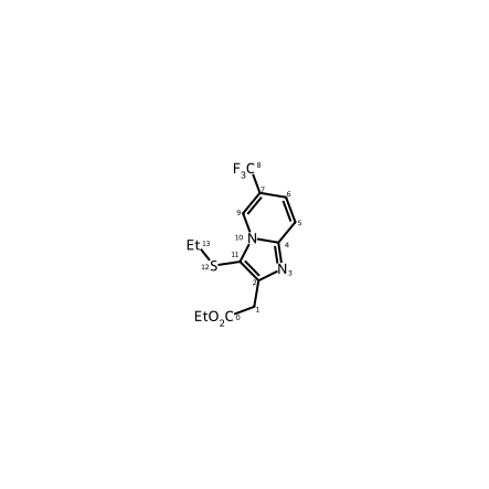 CCOC(=O)Cc1nc2ccc(C(F)(F)F)cn2c1SCC